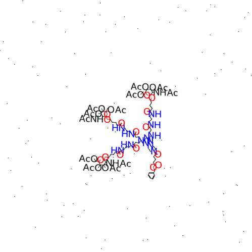 CC(=O)N[C@H]1[C@H](OCCCCC(=O)NCCCNC(=O)CCNc2nc(N(CCC(=O)NCCCNC(=O)CCCCO[C@@H]3O[C@H](COC(C)=O)[C@H](OC(C)=O)[C@H](OC(C)=O)[C@H]3NC(C)=O)CCC(=O)NCCCNC(=O)CCCCO[C@@H]3O[C@H](COC(C)=O)[C@H](OC(C)=O)[C@H](OC(C)=O)[C@H]3NC(C)=O)nc(N3CCN(C(=O)CCCC(=O)OCc4ccccc4)CC3)n2)O[C@H](COC(C)=O)[C@H](OC(C)=O)[C@@H]1OC(C)=O